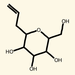 C=CCC1OC(CO)C(O)C(O)C1O